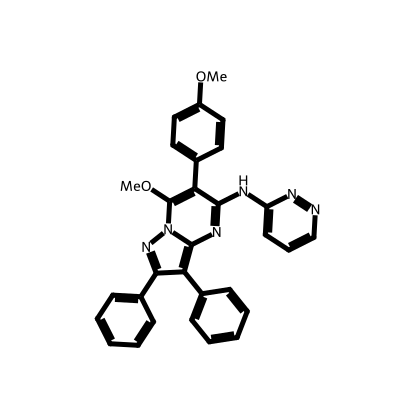 COc1ccc(-c2c(Nc3cccnn3)nc3c(-c4ccccc4)c(-c4ccccc4)nn3c2OC)cc1